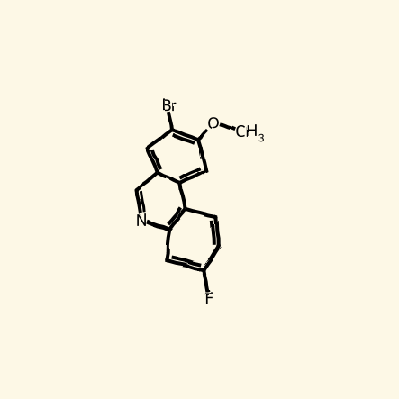 COc1cc2c(cnc3cc(F)ccc32)cc1Br